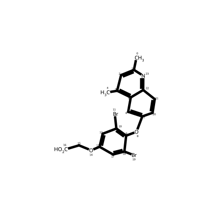 Cc1cc(C)c2cc(Oc3c(Br)cc(OCC(=O)O)cc3Br)ccc2n1